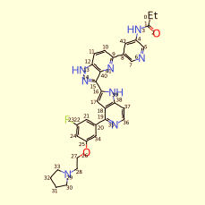 CCC(=O)Nc1cncc(-c2ccc3[nH]nc(-c4cc5c(-c6cc(F)cc(OCCN7CCCC7)c6)nccc5[nH]4)c3n2)c1